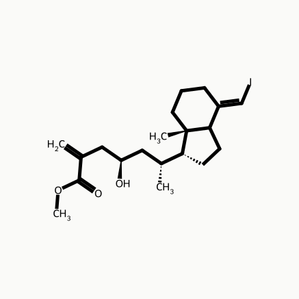 C=C(C[C@H](O)C[C@@H](C)[C@H]1CCC2C(=CI)CCC[C@]21C)C(=O)OC